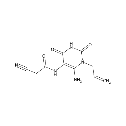 C=CCn1c(N)c(NC(=O)CC#N)c(=O)[nH]c1=O